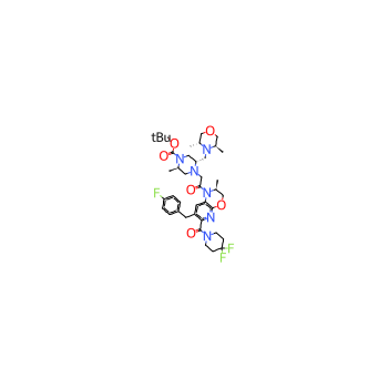 C[C@@H]1CN(CC(=O)N2c3cc(Cc4ccc(F)cc4)c(C(=O)N4CCC(F)(F)CC4)nc3OC[C@@H]2C)[C@@H](CN2[C@H](C)COC[C@H]2C)CN1C(=O)OC(C)(C)C